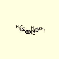 Cc1ncc(-c2ccc3cnc(NC(=O)N4CCN(C)CC4)cc3c2)o1